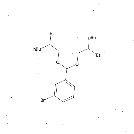 CCCCC(CC)COC(OCC(CC)CCCC)c1cccc(Br)c1